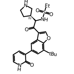 CCS(=O)(=O)NC(C(=O)c1coc2c(C(C)(C)C)cc(-c3ccc[nH]c3=O)cc12)[C@H]1CCNC1